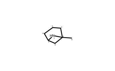 CC12CCCC(C1)N2